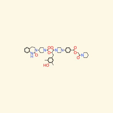 Cc1cc(C[C@@H](OC(=O)N2CCC(N3CCc4ccccc4NC3=O)CC2)C(=O)N2CCN(c3ccc(C(=O)OCC(=O)N4CCCCC4)cc3)CC2)cc(C)c1O